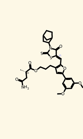 COc1cc(OC)cc(-c2cc(CCCOC(=O)[C@@H](C)CC(N)=O)c(/C=C3\SC(=S)N(C4CC5CCC4C5)C3=O)o2)c1